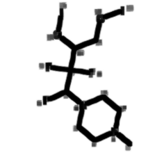 CN1CCN(C(F)C(F)(F)C(COI)OI)CC1